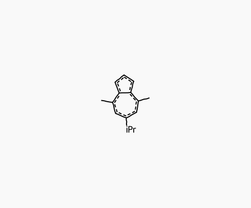 Cc1cc(C(C)C)cc(C)c2cccc1-2